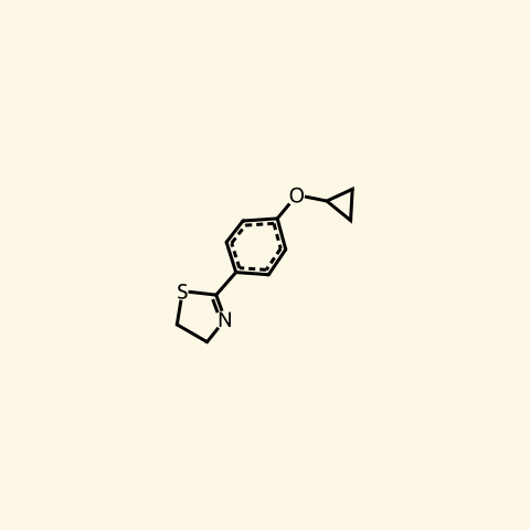 c1cc(C2=NCCS2)ccc1OC1CC1